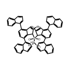 C[SiH](C)[Zr]([Cl])([Cl])([CH]1C(C(C)(C)C)=Cc2c(-c3cccc4ccccc34)ccc(-c3cccc4ccccc34)c21)[CH]1C(C(C)(C)C)=Cc2c(-c3cccc4ccccc34)ccc(-c3cccc4ccccc34)c21